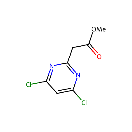 COC(=O)Cc1nc(Cl)cc(Cl)n1